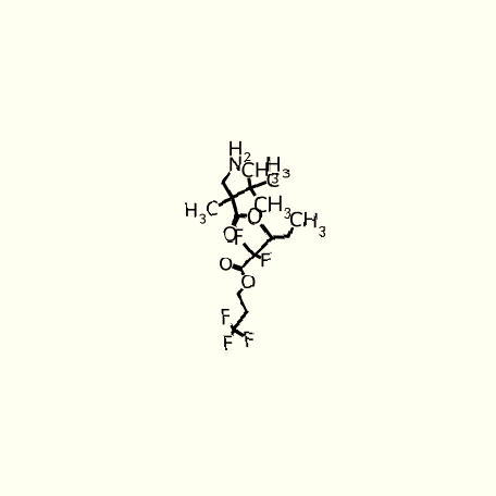 CCC(OC(=O)C(C)(CN)C(C)(C)C)C(F)(F)C(=O)OCCC(F)(F)F